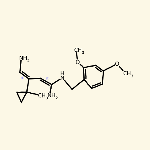 COc1ccc(CN/C(N)=C/C(=C\N)C2(C)CC2)c(OC)c1